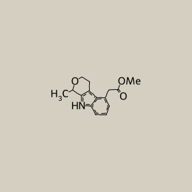 COC(=O)Cc1cccc2[nH]c3c(c12)CCOC3C